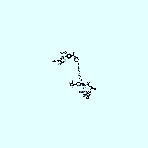 CNc1nc(Nc2ccc(C(=O)N3CCN(CCOCCOCCOc4cc(-c5scnc5C)ccc4CNC(=O)[C@H]4C[C@@H](O)CN4C(=O)C(NC(=O)C4(F)CC4)C(C)(C)C)CC3)cc2OC)ncc1Cl